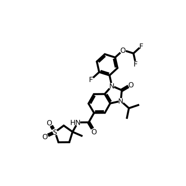 CC(C)n1c(=O)n(-c2cc(OC(F)F)ccc2F)c2ccc(C(=O)NC3(C)CCS(=O)(=O)C3)cc21